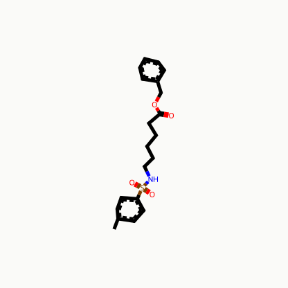 Cc1ccc(S(=O)(=O)NCCCCCC(=O)OCc2ccccc2)cc1